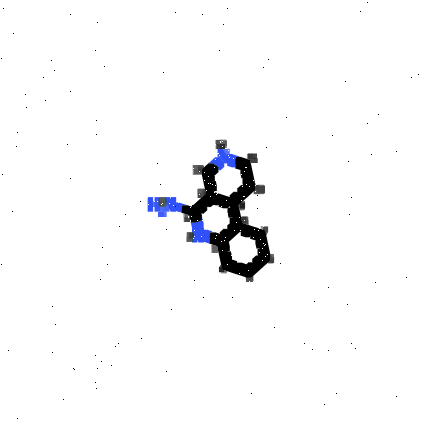 Nc1nc2ccccc2c2ccncc12